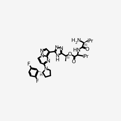 CC(C)C(NC(=O)[C@@H](N)C(C)C)C(=O)O[C@@H](C)c1nnc(-c2cnn3ccc(N4CCC[C@@H]4c4cc(F)ccc4F)nc23)[nH]1